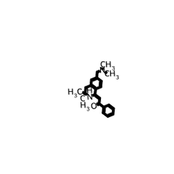 CN(C)Cc1ccc2c(c1)CC(C)(C)NC2=CC(=O)c1ccccc1